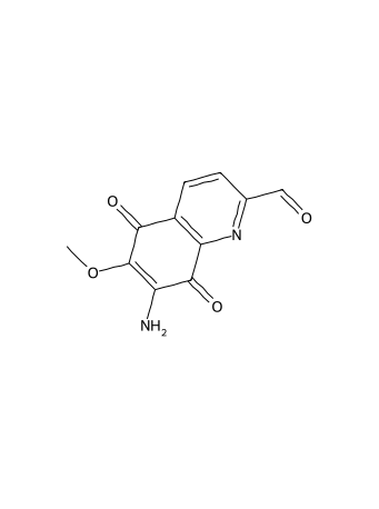 COC1=C(N)C(=O)c2nc(C=O)ccc2C1=O